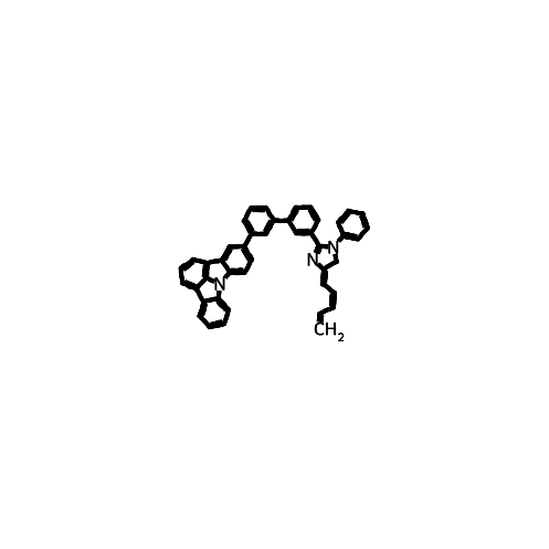 C=C/C=C\C=C1/CN(c2ccccc2)C(c2cccc(-c3cccc(-c4ccc5c(c4)c4cccc6c7ccccc7n5c64)c3)c2)=N1